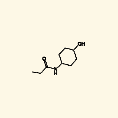 CCC(=O)NC1CCC(O)CC1